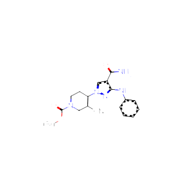 CC(C)(C)OC(=O)N1CCC(n2cc(C(N)=O)c(Nc3ccccc3)n2)C(C#N)C1